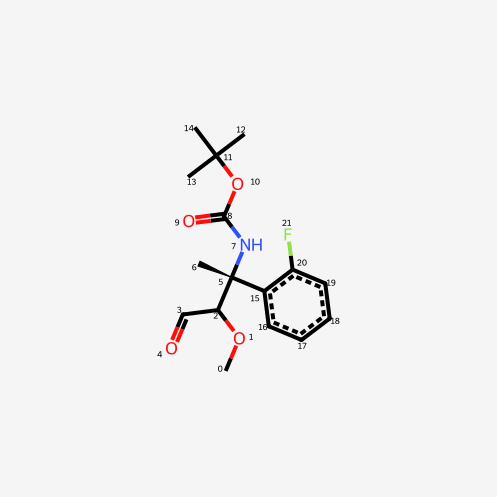 COC(C=O)[C@](C)(NC(=O)OC(C)(C)C)c1ccccc1F